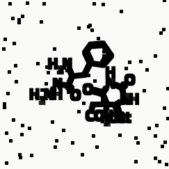 CCCCCCCCC1(CC(=O)O)C(=O)NC(=O)NC1=O.NNC(=O)C(N)Cc1ccccc1